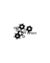 CCCCCc1ccccc1Oc1cccc(O)c1N(NC(=O)CCC)C(=O)c1ccccc1